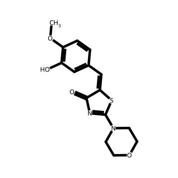 COc1ccc(C=C2SC(N3CCOCC3)=NC2=O)cc1O